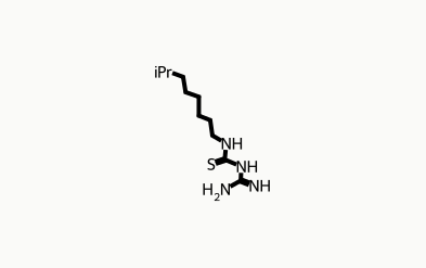 CC(C)CCCCCCNC(=S)NC(=N)N